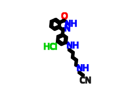 Cl.N#CCCNCCCCCNc1cccc(-c2n[nH]c(=O)c3ccccc23)c1